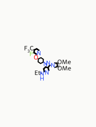 CCNc1cc2c(cn1)c(N1C[C@@H](OC)[C@H](OC)C1)nn2[C@H]1CC[C@@H](Oc2nccc(C(F)(F)F)c2F)CC1